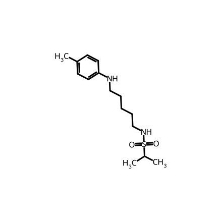 Cc1ccc(NCCCCCNS(=O)(=O)C(C)C)cc1